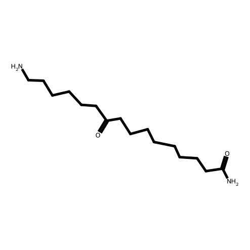 NCCCCCCC(=O)CCCCCCCCC(N)=O